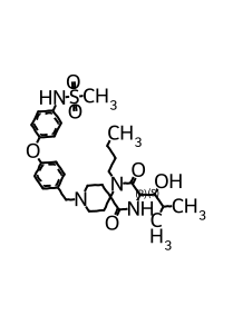 CCCCN1C(=O)[C@@H]([C@@H](O)C(C)C)NC(=O)C12CCN(Cc1ccc(Oc3ccc(NS(C)(=O)=O)cc3)cc1)CC2